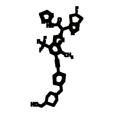 Cc1c(C#Cc2ccc(CN3CCC(CO)CC3)cc2)cc(C(F)(F)F)c2cn(C(C(=O)Nc3nccs3)c3ncn4c3C[C@@H](F)C4)nc12